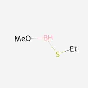 CCSBOC